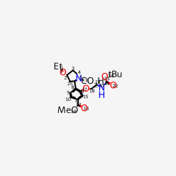 CCOC1CCN(C(=O)O)C(c2ccc(C(=O)OC)cc2OCCNC(=O)OC(C)(C)C)C1